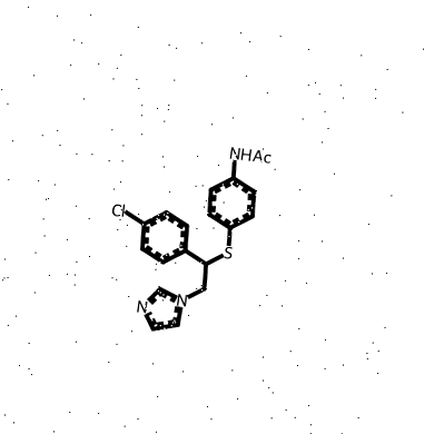 CC(=O)Nc1ccc(SC(Cn2ccnc2)c2ccc(Cl)cc2)cc1